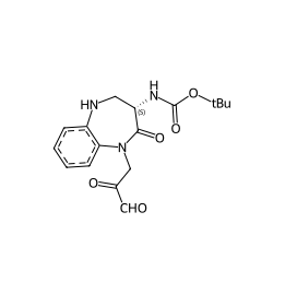 CC(C)(C)OC(=O)N[C@H]1CNc2ccccc2N(CC(=O)C=O)C1=O